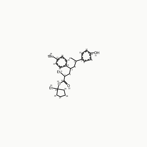 CCC(CC(CC(C)c1ccc(O)cc1)c1ccc(C(C)(C)C)cc1)C(=O)OC1(CC)CCCC1